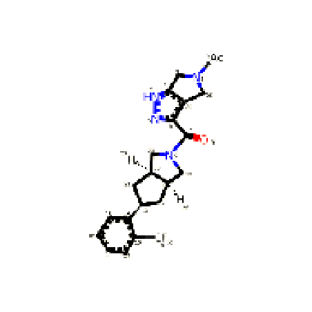 CC(=O)N1Cc2[nH]nc(C(=O)N3C[C@H]4C[C@@H](c5ccccc5C(F)(F)F)C[C@H]4C3)c2C1